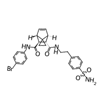 NS(=O)(=O)c1ccc(CCNC(=O)[C@@H]2[C@@H](C(=O)Nc3ccc(Br)cc3)[C@@H]3C=C[C@@H]2C32CC2)cc1